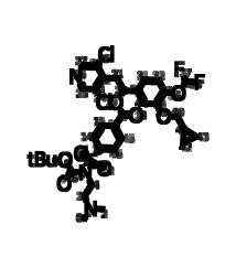 CN(C)CCN(C(=O)OC(C)(C)C)S(=O)(=O)c1ccc(C(=O)OC(Cc2c(Cl)cncc2Cl)c2ccc(OC(F)F)c(OCC3CC3)c2)cc1